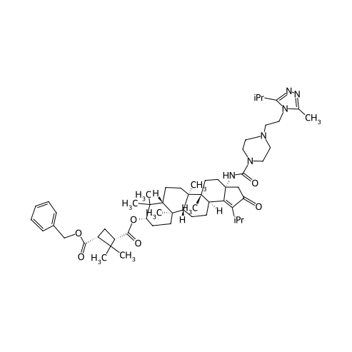 Cc1nnc(C(C)C)n1CCN1CCN(C(=O)N[C@@]23CC[C@]4(C)[C@H](CC[C@@H]5[C@@]6(C)CC[C@H](OC(=O)[C@H]7C[C@@H](C(=O)OCc8ccccc8)C7(C)C)C(C)(C)[C@@H]6CC[C@]54C)C2=C(C(C)C)C(=O)C3)CC1